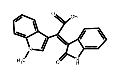 Cn1cc(/C(C(=O)O)=C2\C(=O)Nc3ccccc32)c2ccccc21